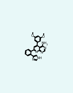 COc1cc(OC)cc(-c2cc(-c3ccccc3-c3c[nH]cn3)nc3ncnc(N)c23)c1